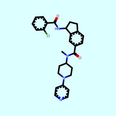 CN(C(=O)c1ccc2c(c1)C(NC(=O)c1ccccc1Cl)CC2)C1CCN(c2ccncc2)CC1